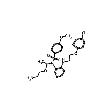 COc1ccc(S(=O)(=O)N(c2ccccc2NCCOc2ccc(Cl)cc2)C(C)OCCN)cc1